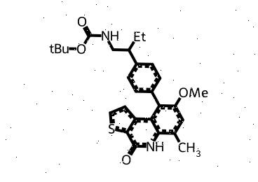 CCC(CNC(=O)OC(C)(C)C)c1ccc(-c2c(OC)cc(C)c3[nH]c(=O)c4sccc4c23)cc1